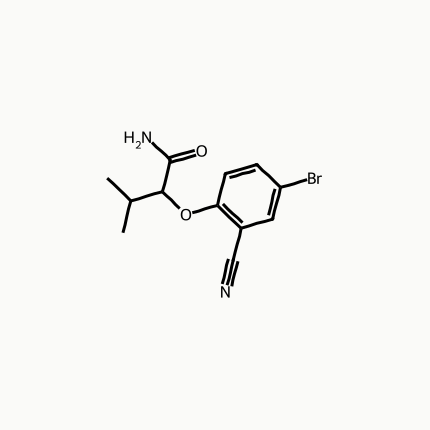 CC(C)C(Oc1ccc(Br)cc1C#N)C(N)=O